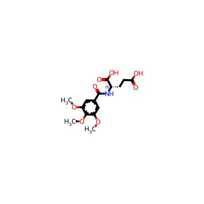 COc1cc(C(=O)N[C@@H](CCC(=O)O)C(=O)O)cc(OC)c1OC